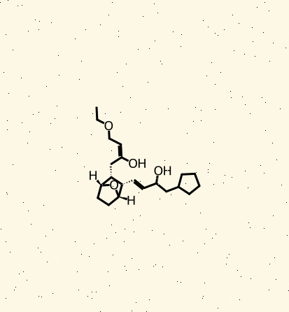 CCOC/C=C(/O)C[C@@H]1[C@H](/C=C/C(O)CC2CCCC2)[C@@H]2CC[C@H]1O2